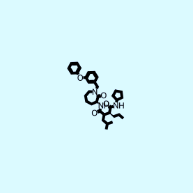 CCC[C@H](C(=O)NC1CCCC1)C(CC(C)C)C(=O)N[C@H]1CCCCN(Cc2cccc(Oc3ccccc3)c2)C1=O